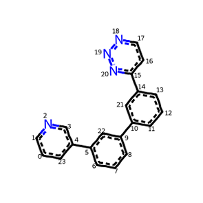 c1cncc(-c2cccc(-c3cccc(-c4ccnnn4)c3)c2)c1